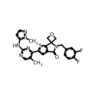 Cc1cnc(Nc2ccnn2C)nc1-c1cc2c(s1)C1(COC1)N(Cc1ccc(F)c(F)c1)C2=O